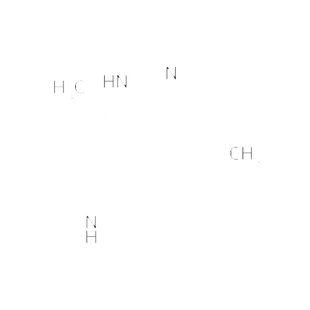 CC1=NNC2(C)CCNCC12